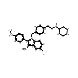 COc1ccc(-c2c(C)c3cc(O)ccc3n2Cc2ccc(CCNC3CCCCC3)cc2)cc1